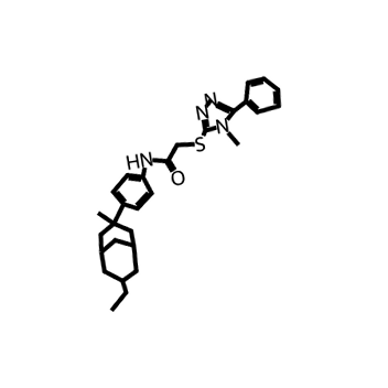 CCC1CC2CC(C1)CC(C)(c1ccc(NC(=O)CSc3nnc(-c4ccccc4)n3C)cc1)C2